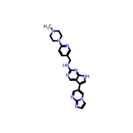 CN1CCN(c2ccc(CNc3ncc4c(-c5cnc6nccn6c5)c[nH]c4n3)cn2)CC1